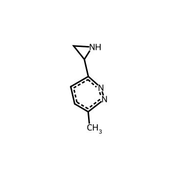 Cc1ccc(C2CN2)nn1